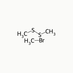 CBr.CSSC